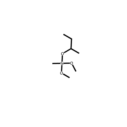 CCC(C)O[Si](C)(OC)OC